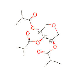 CC(C)C(=O)O[C@H]1[C@H](OC(=O)C(C)C)[CH]OC[C@H]1OC(=O)C(C)C